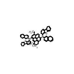 CCc1cc(N(c2ccc3ccccc3c2)c2cccc3c2sc2ccccc23)c2cc3c4c(cc(N(c5ccc6c(c5)CCC=C6)c5cccc6c5sc5ccccc56)c5ccc1c2c54)CCC3(C)C